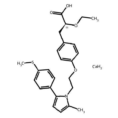 CCO[C@@H](Cc1ccc(OCCn2c(C)ccc2-c2ccc(SC)cc2)cc1)C(=O)O.[CaH2]